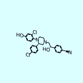 N#Cc1ccc([C@H](O)CN2CCN(c3ccc(O)cc3Cl)[C@H](c3ccc(Cl)cc3)C2)cc1